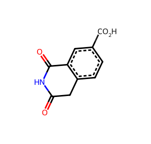 O=C1Cc2ccc(C(=O)O)cc2C(=O)N1